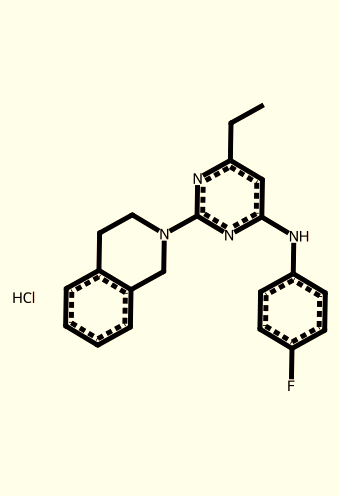 CCc1cc(Nc2ccc(F)cc2)nc(N2CCc3ccccc3C2)n1.Cl